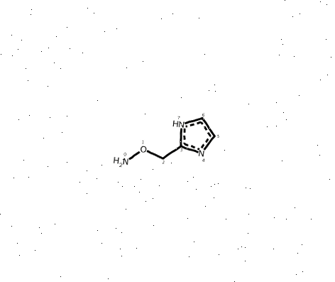 NOCc1ncc[nH]1